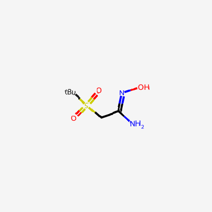 CC(C)(C)S(=O)(=O)CC(N)=NO